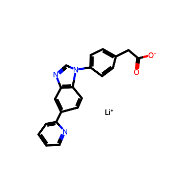 O=C([O-])Cc1ccc(-n2cnc3cc(-c4ccccn4)ccc32)cc1.[Li+]